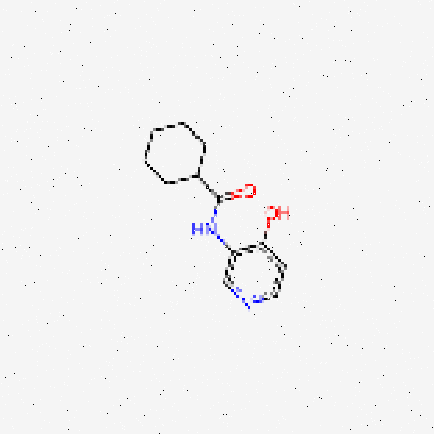 O=C(Nc1cnccc1O)C1CCCCC1